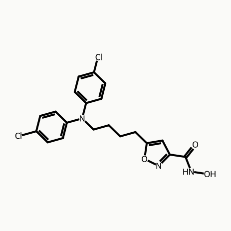 O=C(NO)c1cc(CCCCN(c2ccc(Cl)cc2)c2ccc(Cl)cc2)on1